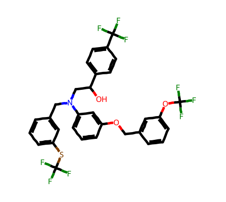 OC(CN(Cc1cccc(SC(F)(F)F)c1)c1cccc(OCc2cccc(OC(F)(F)F)c2)c1)c1ccc(C(F)(F)F)cc1